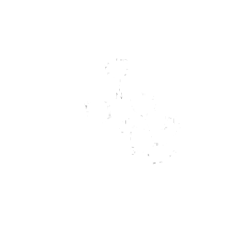 c1ccc(N(c2ccccc2)c2ccc3c(c2)C2(c4ccccc4Sc4ccccc42)c2ccccc2-3)cc1